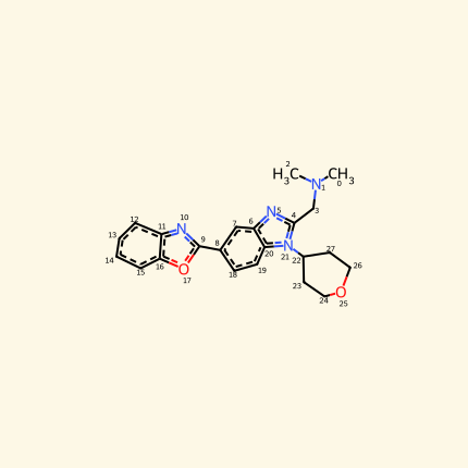 CN(C)Cc1nc2cc(-c3nc4ccccc4o3)ccc2n1C1CCOCC1